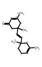 CC1=CCCC(C)(/C=C/C2(C)CC(=O)C=C(C)C2)C1